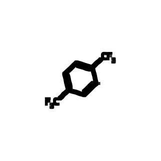 FC(F)(F)c1[c]cc(C(F)(F)F)cc1